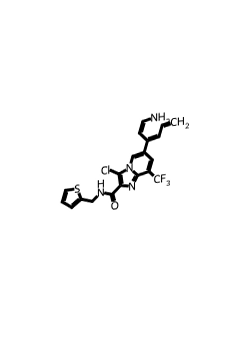 C=C/C=C(\C=C/N)c1cc(C(F)(F)F)c2nc(C(=O)NCc3cccs3)c(Cl)n2c1